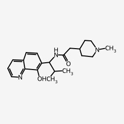 CC(C)C(NC(=O)CC1CCN(C)CC1)c1ccc2cccnc2c1O